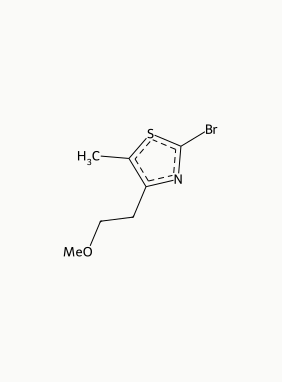 COCCc1nc(Br)sc1C